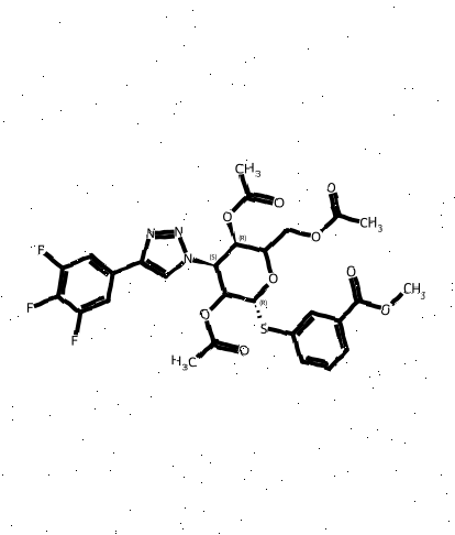 COC(=O)c1cccc(S[C@H]2OC(COC(C)=O)[C@H](OC(C)=O)[C@H](n3cc(-c4cc(F)c(F)c(F)c4)nn3)C2OC(C)=O)c1